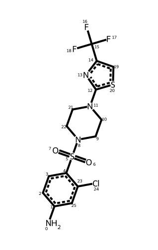 Nc1ccc(S(=O)(=O)N2CCN(c3nc(C(F)(F)F)cs3)CC2)c(Cl)c1